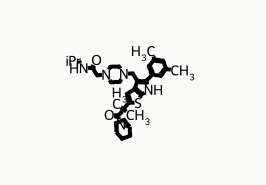 Cc1cc(C)cc(-c2[nH]c3sc(C(C)(C)C(=O)N4C5CCC4CC5)cc3c2CN2CCN(CC(=O)NC(C)C)CC2)c1